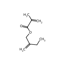 C=C(CC)COC(=O)C(=C)C